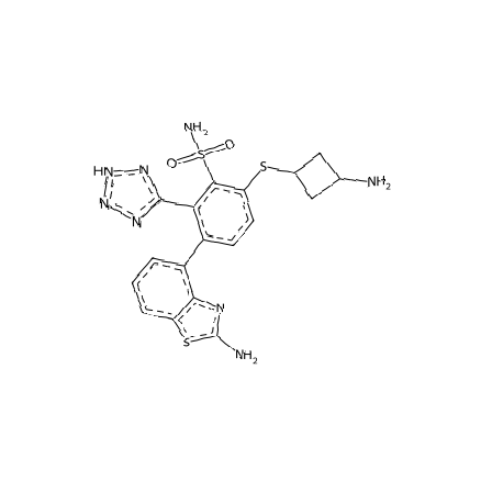 Nc1nc2c(-c3ccc(SC4CC(N)C4)c(S(N)(=O)=O)c3-c3nn[nH]n3)cccc2s1